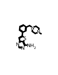 CN1CCN(Cc2cccc(-c3cc4ncnc(N)c4s3)c2)CC1